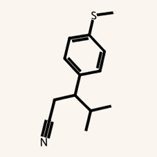 CSc1ccc(C(CC#N)C(C)C)cc1